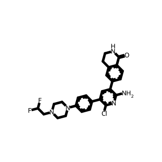 Nc1nc(Cl)c(-c2ccc(N3CCN(CC(F)F)CC3)cc2)cc1-c1ccc2c(c1)CCNC2=O